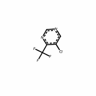 FC(F)(F)c1ncncc1Cl